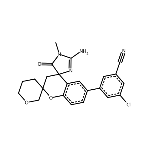 CN1C(=O)C2(CC3(CCCOC3)Oc3ccc(-c4cc(Cl)cc(C#N)c4)cc32)N=C1N